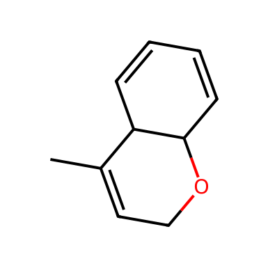 CC1=CCOC2C=CC=CC12